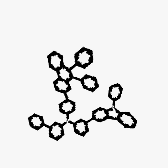 c1ccc(-c2cccc(N(c3ccc(-c4ccc5c(c4)c(-c4ccccc4)c(-c4ccccc4)c4ccccc45)cc3)c3cccc(-c4ccc5c(c4)c4ccccc4n5-c4ccccc4)c3)c2)cc1